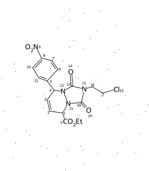 CCOC(=O)C1C=CC(c2ccc([N+](=O)[O-])cc2)n2c(=O)n(CCCl)c(=O)n21